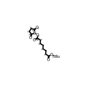 CC(C)(C)OC(=O)CCCCCCC(=O)ON1C(=O)CCC1=O